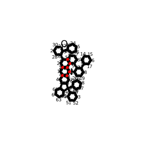 c1ccc(-c2ccccc2-c2c(-c3ccccc3)cccc2N(c2ccc(-c3cccc4oc5ccccc5c34)cc2)c2ccc3c(c2)C(c2ccccc2)(c2ccccc2)c2ccccc2-3)cc1